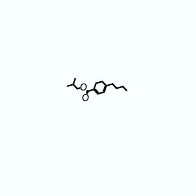 CCCCC1=CC=C(C(=O)OCC(C)C)CC1